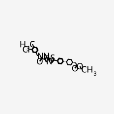 CCOC(=O)C[C@H]1CC[C@H](c2ccc(-c3cn4cc(C(=O)NCc5ccc(C)c(Cl)c5)nc4s3)cc2)CC1